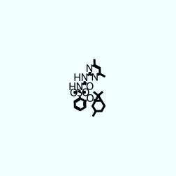 Cc1cc(C)nc(NC(=O)NS(=O)(=O)c2ccccc2OC23CC(C)CCC2C3(C)C)n1